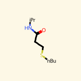 CCCCSCCC(=O)NC(C)C